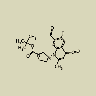 CC1=CC(=C=O)c2cc(F)c(C=O)cc2N1[C@@H]1CCN(C(=O)OC(C)(C)C)C1